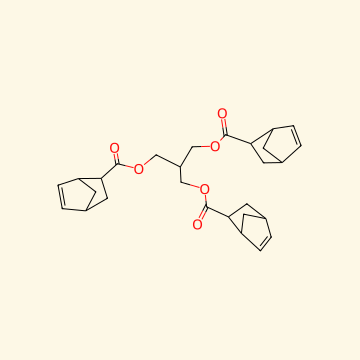 O=C(OCC(COC(=O)C1CC2C=CC1C2)COC(=O)C1CC2C=CC1C2)C1CC2C=CC1C2